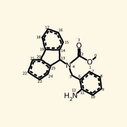 COC(=O)N(Cc1ccccc1N)C1c2ccccc2-c2ccccc21